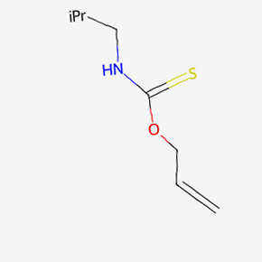 C=CCOC(=S)NCC(C)C